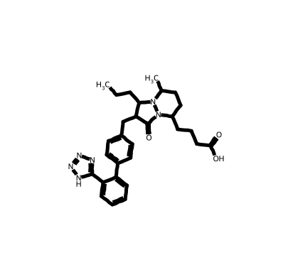 CCCC1C(Cc2ccc(-c3ccccc3-c3nnn[nH]3)cc2)C(=O)N2C(CCCC(=O)O)CCC(C)N12